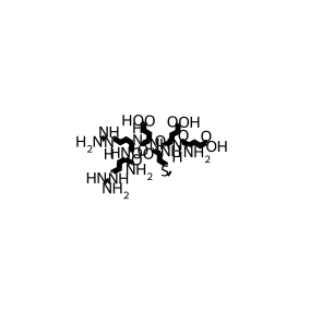 CSCCC(NC(=O)C(CCC(=O)O)NC(=O)C(N)CCC(=O)O)C(=O)NC(CCC(=O)O)C(=O)NC(CCCNC(=N)N)C(=O)NC(CCCNC(=N)N)C(N)=O